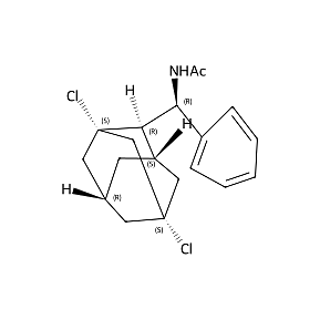 CC(=O)N[C@@H](c1ccccc1)[C@H]1[C@H]2C[C@@H]3C[C@](Cl)(C2)C[C@@]1(Cl)C3